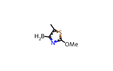 Bc1nc(OC)sc1C